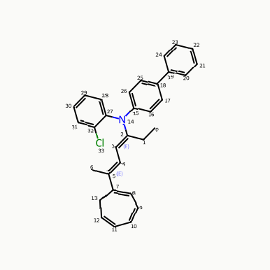 CC/C(=C\C=C(/C)C1=CC=CC=CC1)N(c1ccc(-c2ccccc2)cc1)c1ccccc1Cl